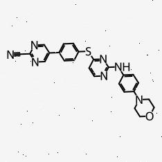 N#Cc1ncc(-c2ccc(Sc3ccnc(Nc4ccc(N5CCOCC5)cc4)n3)cc2)cn1